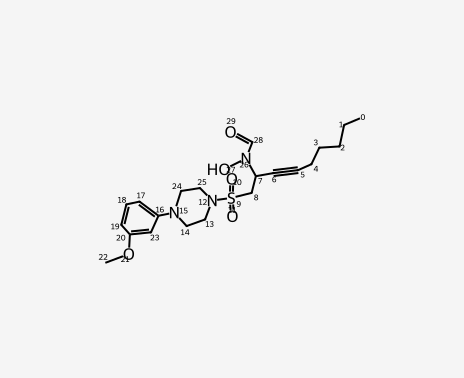 CCCCCC#CC(CS(=O)(=O)N1CCN(c2cccc(OC)c2)CC1)N(O)C=O